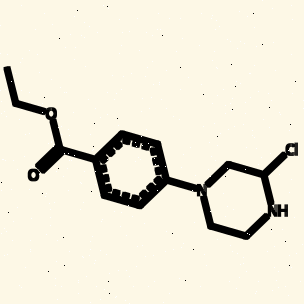 CCOC(=O)c1ccc(N2CCNC(Cl)C2)cc1